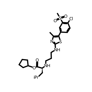 Cc1nc(NCCCN[C@@H](CC(C)C)C(=O)OC2CCCC2)sc1-c1ccc(Cl)c(S(C)(=O)=O)c1